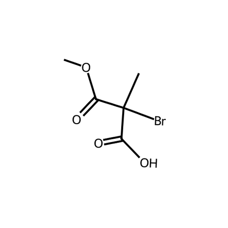 COC(=O)C(C)(Br)C(=O)O